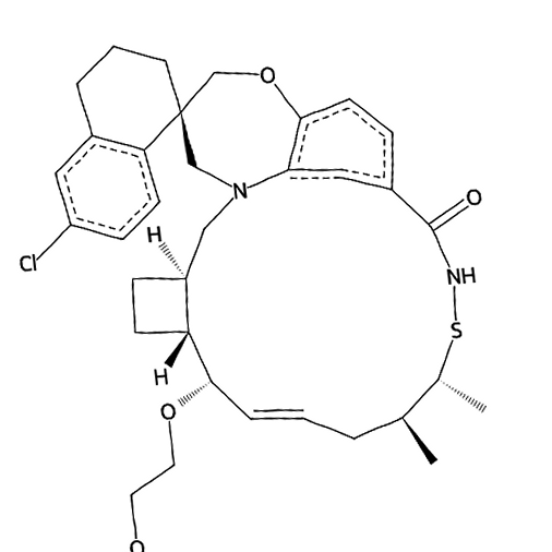 COCCO[C@H]1/C=C/C[C@H](C)[C@@H](C)SNC(=O)c2ccc3c(c2)N(C[C@@H]2CC[C@H]21)C[C@@]1(CCCc2cc(Cl)ccc21)CO3